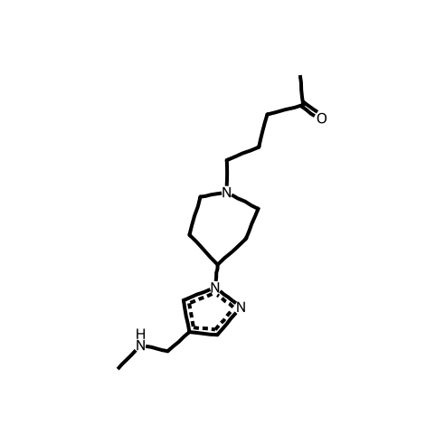 CNCc1cnn(C2CCN(CCCC(C)=O)CC2)c1